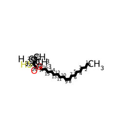 CCCCCCCC/C=C\CCCCCCCCOC(=O)[CH](S)[Sn]([CH3])([CH3])[CH3]